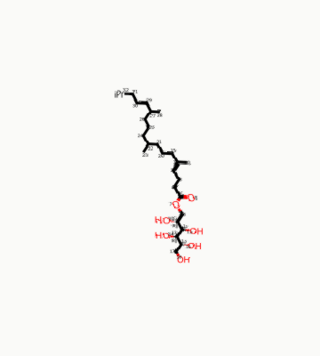 CC(=CCCC(=O)OC[C@@H](O)[C@@H](O)[C@H](O)[C@H](O)CO)CCCC(C)CCCC(C)CCCC(C)C